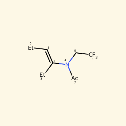 CC/C=C(\CC)N(CC(F)(F)F)C(C)=O